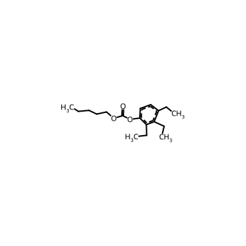 CCCCCOC(=O)Oc1ccc(CC)c(CC)c1CC